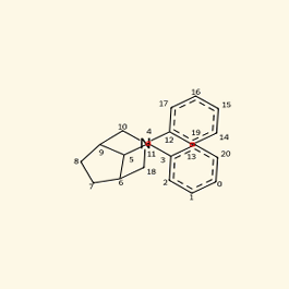 c1ccc(CC2C3CCC2CN(c2ccccc2)C3)cc1